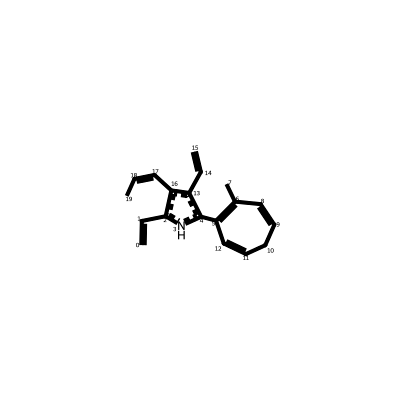 C=Cc1[nH]c(C2=C(C)C=CCC=C2)c(C=C)c1/C=C\C